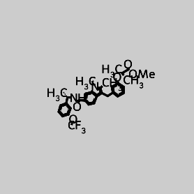 COC(=O)C(C)(C)Oc1cccc(Cc2c(C)n(C)c3cc(C(=O)N[C@@H](C)c4cccc(OC(F)(F)F)c4)ccc23)c1